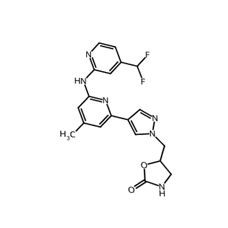 Cc1cc(Nc2cc(C(F)F)ccn2)nc(-c2cnn(CC3CNC(=O)O3)c2)c1